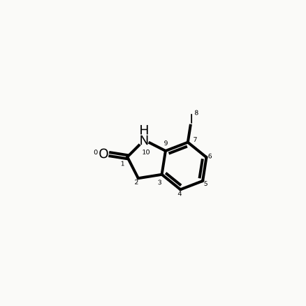 O=C1Cc2cccc(I)c2N1